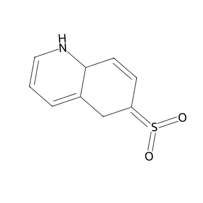 O=S(=O)=C1C=CC2NC=CC=C2C1